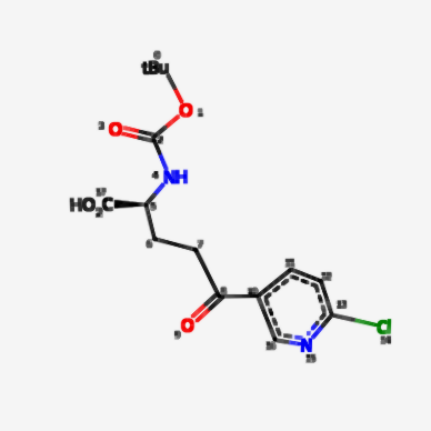 CC(C)(C)OC(=O)N[C@@H](CCC(=O)c1ccc(Cl)nc1)C(=O)O